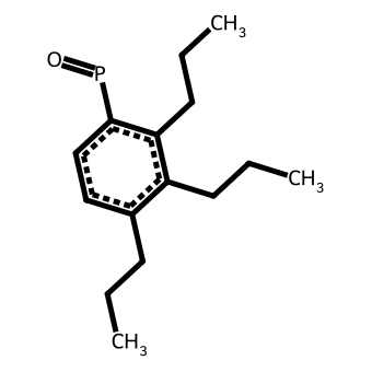 CCCc1ccc(P=O)c(CCC)c1CCC